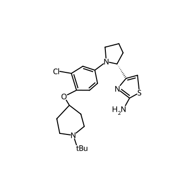 CC(C)(C)N1CCC(Oc2ccc(N3CCC[C@@H]3c3csc(N)n3)cc2Cl)CC1